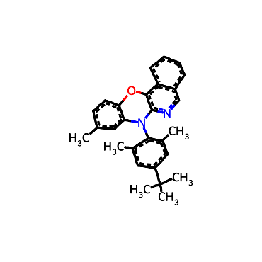 Cc1ccc2c(c1)N(c1c(C)cc(C(C)(C)C)cc1C)c1ncc3ccccc3c1O2